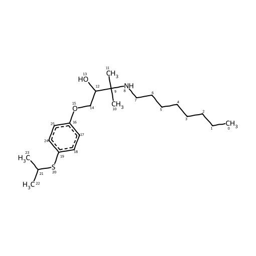 CCCCCCCCNC(C)(C)C(O)COc1ccc(SC(C)C)cc1